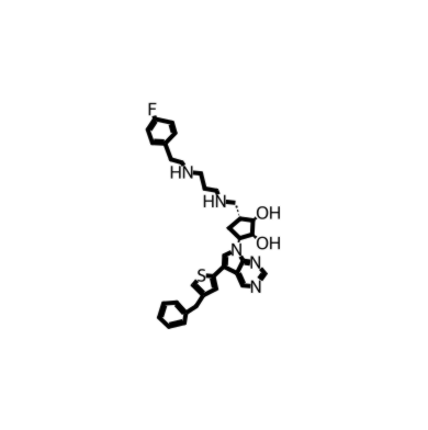 O[C@@H]1[C@@H](CNCCCNCCc2ccc(F)cc2)C[C@@H](n2cc(-c3cc(Cc4ccccc4)cs3)c3cncnc32)[C@@H]1O